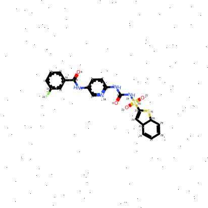 O=C(Nc1ccc(NC(=O)c2cccc(F)c2)cn1)NS(=O)(=O)C1=CC2C=CC=CC2S1